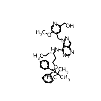 CCC[C@@H](CCO[Si](c1ccccc1)(c1ccccc1)C(C)(C)C)Nc1n[c]nc2cnn(Cc3cc(CO)ncc3OC)c12